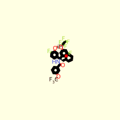 CC(C)Oc1cc([C@@](CC2C=CC=CC2)(NC(=O)c2cccc(OC(F)(F)F)c2)c2cc(F)cc(OC(F)(F)C(F)F)c2)ccc1F